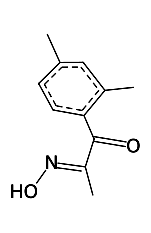 CC(=NO)C(=O)c1ccc(C)cc1C